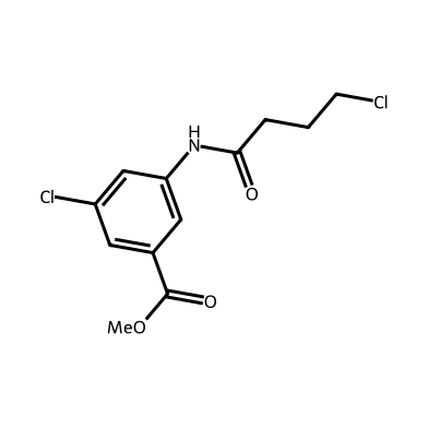 COC(=O)c1cc(Cl)cc(NC(=O)CCCCl)c1